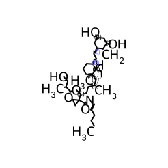 C=C1/C(=C\C=C2/CCC[C@]3(C)[C@@H]([C@H](C)CC[C@H](OC(=O)C(C)CO)C4(c5ncc(CCCC)o5)CC4)CC[C@@H]23)C[C@@H](O)C[C@@H]1O